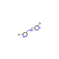 Brc1cc(CNCc2ccnc(Br)c2)ccn1